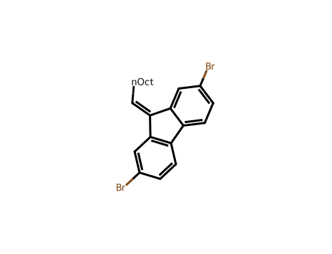 CCCCCCCCC=C1c2cc(Br)ccc2-c2ccc(Br)cc21